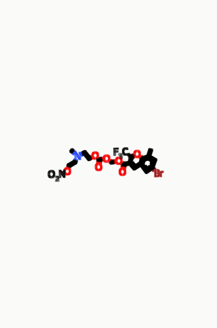 Cc1cc(Br)cc2c1O[C@H](C(F)(F)F)C(C(=O)OCOC(=O)OCCN(C)CCO[N+](=O)[O-])=C2